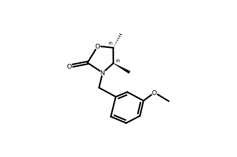 COc1cccc(CN2C(=O)O[C@H](C)[C@H]2C)c1